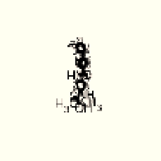 CC(C)(O)C(=O)NC1CCC(NC(=O)c2ccc(-c3cccc(F)c3)nc2)CC1